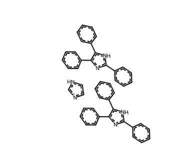 c1c[nH]cn1.c1ccc(-c2nc(-c3ccccc3)c(-c3ccccc3)[nH]2)cc1.c1ccc(-c2nc(-c3ccccc3)c(-c3ccccc3)[nH]2)cc1